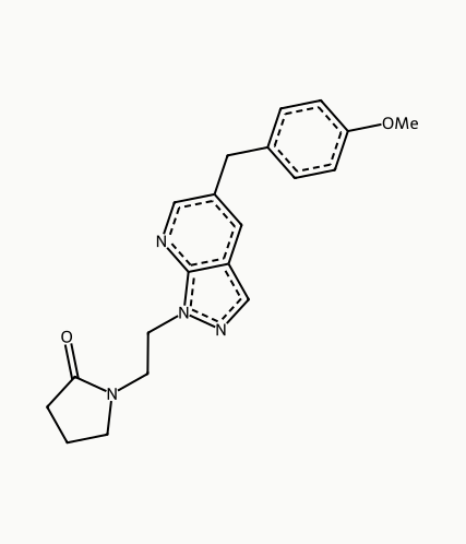 COc1ccc(Cc2cnc3c(cnn3CCN3CCCC3=O)c2)cc1